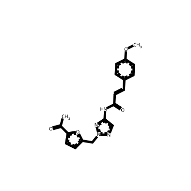 COc1ccc(C=CC(=O)Nc2cnn(Cc3ccc(C(C)=O)o3)n2)cc1